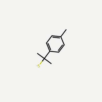 Cc1ccc(C(C)(C)[S])cc1